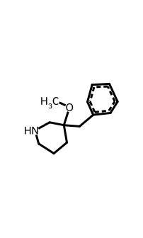 COC1(Cc2ccccc2)CCCNC1